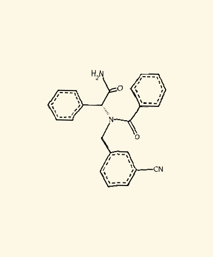 N#Cc1cccc(CN(C(=O)c2ccccc2)[C@@H](C(N)=O)c2ccccc2)c1